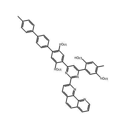 CCCCCCCCc1cc(-c2cc(-c3cc(CCCCCCCC)c(-c4ccc(-c5ccc(C)cc5)cc4)cc3CCCCCCCC)nc(-c3ccc4ccc5cccnc5c4n3)n2)c(CCCCCCCC)cc1C